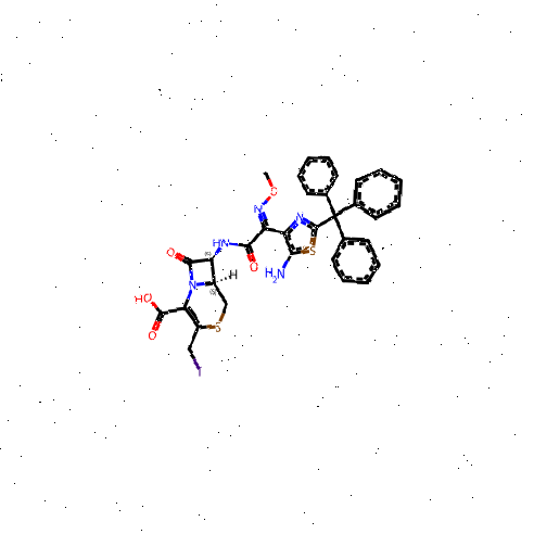 CON=C(C(=O)N[C@@H]1C(=O)N2C(C(=O)O)=C(CI)SC[C@H]12)c1nc(C(c2ccccc2)(c2ccccc2)c2ccccc2)sc1N